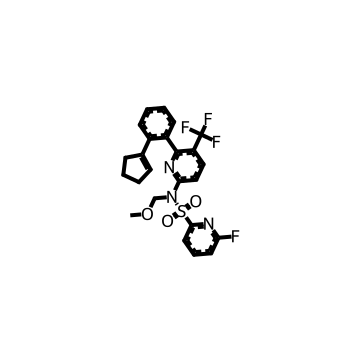 COCN(c1ccc(C(F)(F)F)c(-c2ccccc2C2=CCCC2)n1)S(=O)(=O)c1cccc(F)n1